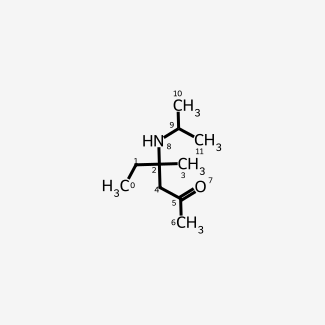 CCC(C)(CC(C)=O)NC(C)C